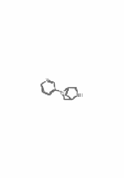 c1cncc(N2CC3CC2CN3)c1